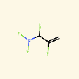 C=C(F)C(F)N(F)F